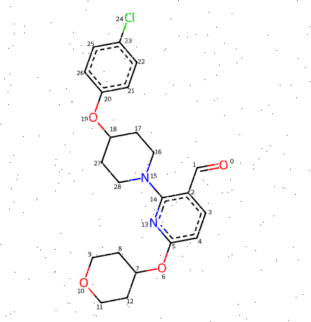 O=Cc1ccc(OC2CCOCC2)nc1N1CCC(Oc2ccc(Cl)cc2)CC1